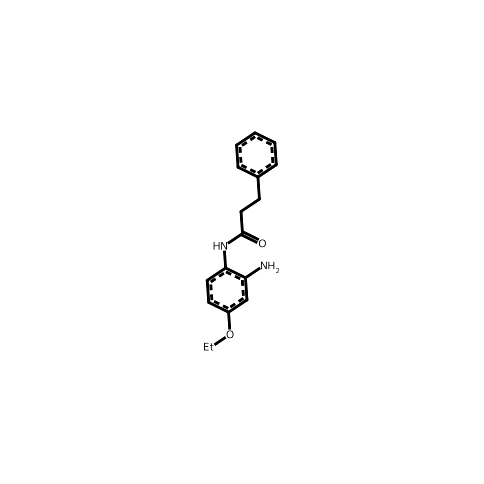 CCOc1ccc(NC(=O)CCc2ccccc2)c(N)c1